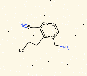 CCCc1c(C#N)cccc1CN